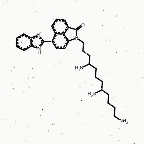 NCCCCC(N)CCCC(N)CCCN1C(=O)c2cccc3c(-c4nc5ccccc5[nH]4)ccc1c23